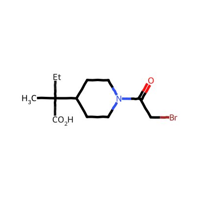 CCC(C)(C(=O)O)C1CCN(C(=O)CBr)CC1